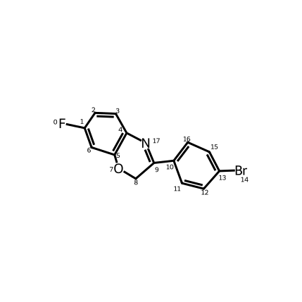 Fc1ccc2c(c1)OCC(c1ccc(Br)cc1)=N2